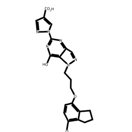 O=C(O)c1cnn(-c2nc(O)c3c(cnn3CCCOc3ccc(Cl)c4c3CCC4)n2)c1